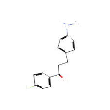 CC(=O)N(F)c1ccc(CCC(=O)c2ccc(F)cc2)cc1